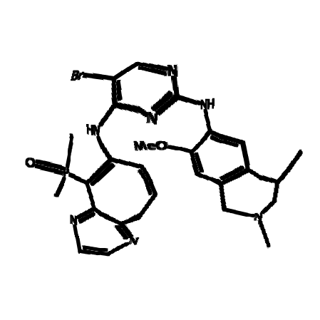 COc1cc2c(cc1Nc1ncc(Br)c(Nc3ccc4nccnc4c3P(C)(C)=O)n1)C(C)CN(C)C2